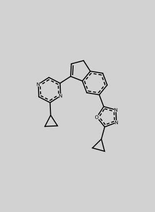 C1=C(c2cncc(C3CC3)n2)c2cc(-c3nnc(C4CC4)o3)ccc2C1